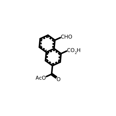 CC(=O)OC(=O)c1cc(C(=O)O)c2c(C=O)cccc2c1